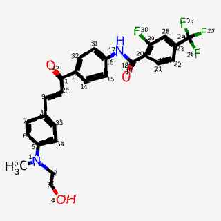 CN(CCO)c1ccc(/C=C/C(=O)c2ccc(NC(=O)c3ccc(C(F)(F)F)cc3F)cc2)cc1